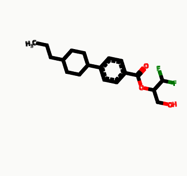 CCCC1CCC(c2ccc(C(=O)OC(CO)C(F)F)cc2)CC1